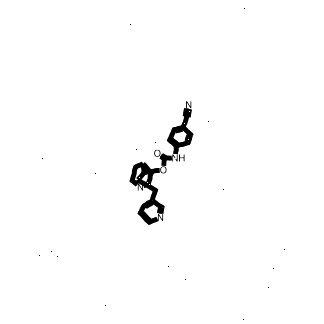 N#Cc1ccc(NC(=O)OC2C3CCN(CC3)C2Cc2cccnc2)cc1